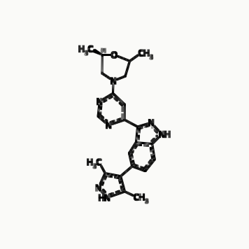 Cc1n[nH]c(C)c1-c1ccc2[nH]nc(-c3cc(N4CC(C)O[C@H](C)C4)ncn3)c2c1